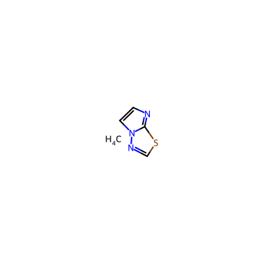 C.c1cn2ncsc2n1